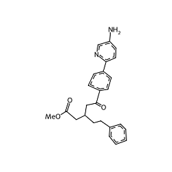 COC(=O)CC(CCc1ccccc1)CC(=O)c1ccc(-c2ccc(N)cn2)cc1